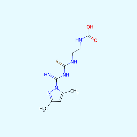 Cc1cc(C)n(C(=N)NC(=S)NCCNC(=O)O)n1